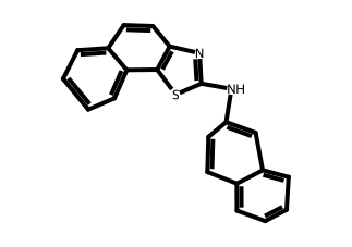 c1ccc2cc(Nc3nc4ccc5ccccc5c4s3)ccc2c1